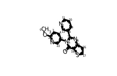 COc1ccc(-n2c(-c3cccnc3)nc3ccsc3c2=O)cn1